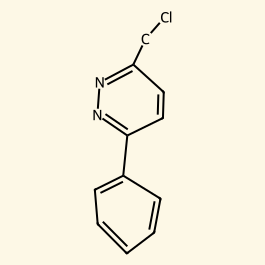 ClCc1ccc(-c2ccccc2)nn1